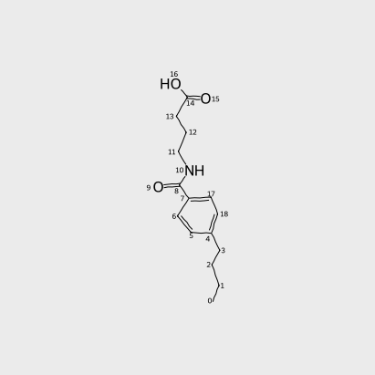 CCCCc1ccc(C(=O)NCCCC(=O)O)cc1